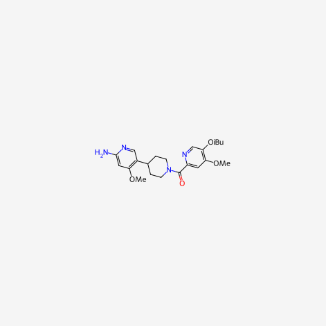 COc1cc(C(=O)N2CCC(c3cnc(N)cc3OC)CC2)ncc1OCC(C)C